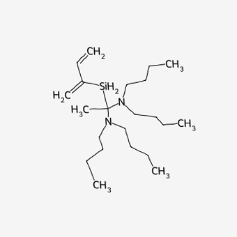 C=CC(=C)[SiH2]C(C)(N(CCCC)CCCC)N(CCCC)CCCC